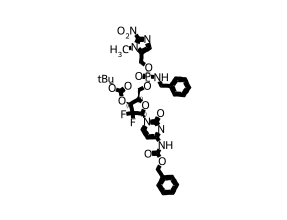 Cn1c(COP(=O)(NCc2ccccc2)OC[C@H]2O[C@@H](n3ccc(NC(=O)OCc4ccccc4)nc3=O)C(F)(F)[C@@H]2OC(=O)OC(C)(C)C)cnc1[N+](=O)[O-]